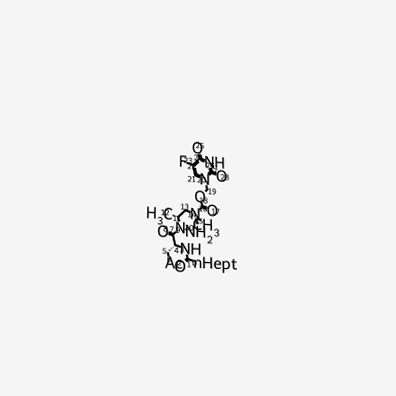 CCCCCCCC(=O)N[C@H](CC(C)=O)C(=O)N(N)[C@H](C)CN(C)C(=O)OCn1cc(F)c(=O)[nH]c1=O